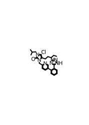 CCCCCc1c(Cl)n(CC(C)C)c(=O)n1Cc1ccc(-c2ccccc2-c2nnn[nH]2)cn1